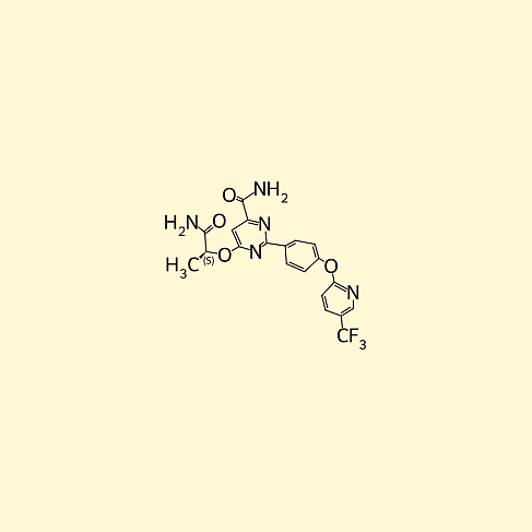 C[C@H](Oc1cc(C(N)=O)nc(-c2ccc(Oc3ccc(C(F)(F)F)cn3)cc2)n1)C(N)=O